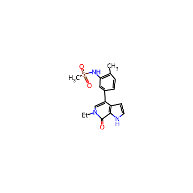 CCn1cc(-c2ccc(C)c(NS(C)(=O)=O)c2)c2cc[nH]c2c1=O